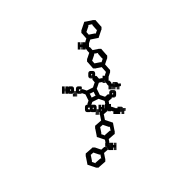 CCCN(Cc1ccc(Nc2ccccc2)cc1)C(=O)C1C(C(=O)O)C(C(=O)O)C1C(=O)N(CCC)Cc1ccc(Nc2ccccc2)cc1